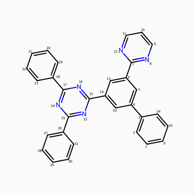 c1ccc(-c2cc(-c3ncccn3)cc(-c3nc(-c4ccccc4)nc(-c4ccccc4)n3)c2)cc1